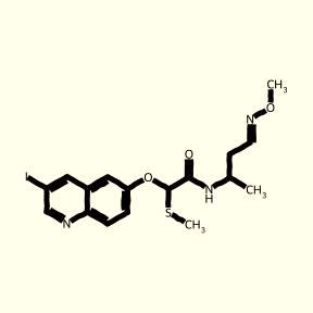 CO/N=C/CC(C)NC(=O)C(Oc1ccc2ncc(I)cc2c1)SC